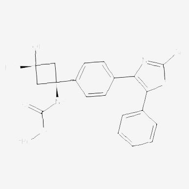 CC(C)(C)OC(=O)N[C@]1(c2ccc(-c3nc(Br)sc3-c3ccccc3)cc2)C[C@@](C)(O)C1